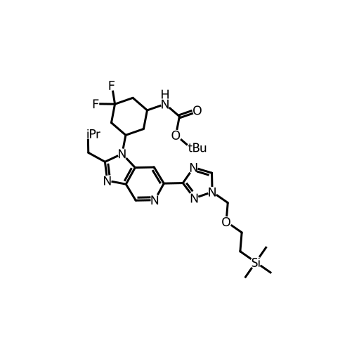 CC(C)Cc1nc2cnc(-c3ncn(COCC[Si](C)(C)C)n3)cc2n1C1CC(NC(=O)OC(C)(C)C)CC(F)(F)C1